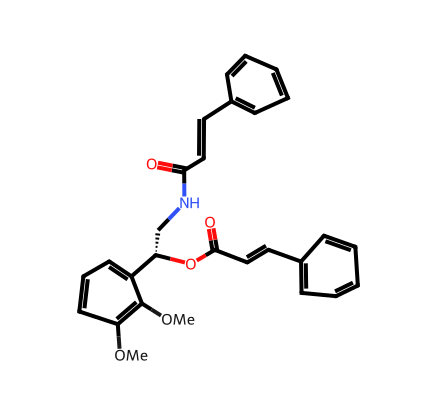 COc1cccc([C@H](CNC(=O)/C=C/c2ccccc2)OC(=O)/C=C/c2ccccc2)c1OC